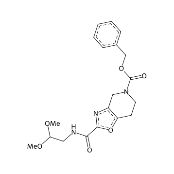 COC(CNC(=O)c1nc2c(o1)CCN(C(=O)OCc1ccccc1)C2)OC